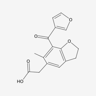 Cc1c(CC(=O)O)cc2c(c1C(=O)c1ccoc1)OCC2